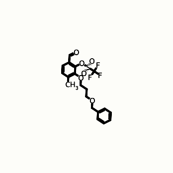 Cc1ccc(C=O)c(OS(=O)(=O)C(F)(F)F)c1OCCCOCc1ccccc1